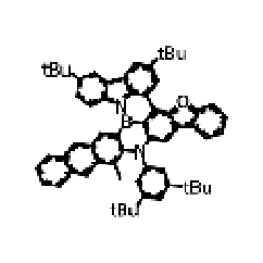 Cc1c2c(cc3cc4ccccc4cc13)B1c3c(cc4c(oc5ccccc54)c3-c3cc(C(C)(C)C)cc4c5cc(C(C)(C)C)ccc5n1c34)N2c1cc(C(C)(C)C)cc(C(C)(C)C)c1